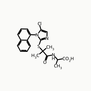 CC(NC(=O)C(C)(C)Sc1ncc(Cl)n1-c1cccc2ccccc12)C(=O)O